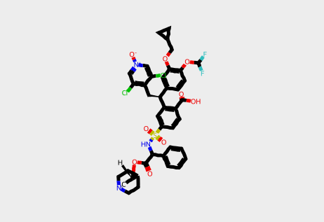 O=C(O)c1ccc(S(=O)(=O)NC(C(=O)O[C@H]2CN3CCC2CC3)c2ccccc2)cc1[C@@H](Cc1c(Cl)c[n+]([O-])cc1Cl)c1ccc(OC(F)F)c(OCC2CC2)c1